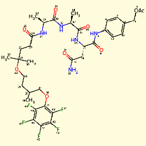 CC(=O)OCc1ccc(NC(=O)[C@H](CC(N)=O)NC(=O)[C@H](C)NC(=O)[C@H](C)NC(=O)CCC(C)(C)OCCC(C)COc2c(F)c(F)c(F)c(F)c2F)cc1